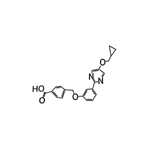 O=C(O)c1ccc(COc2cccc(-c3ncc(OCC4CC4)cn3)c2)cc1